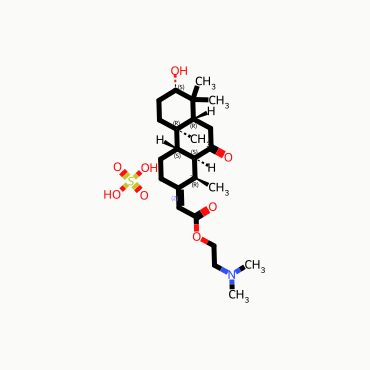 C[C@H]1/C(=C\C(=O)OCCN(C)C)CC[C@H]2[C@H]1C(=O)C[C@H]1C(C)(C)[C@@H](O)CC[C@]21C.O=S(=O)(O)O